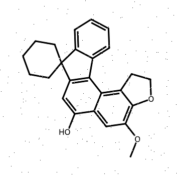 COc1cc2c(O)cc3c(c2c2c1OCC2)-c1ccccc1C31CCCCC1